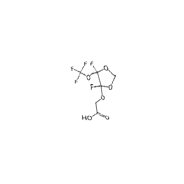 O=C(O)COC1(F)OCOC1(F)OC(F)(F)F